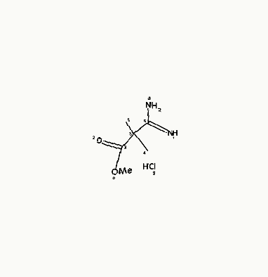 COC(=O)C(C)(C)C(=N)N.Cl